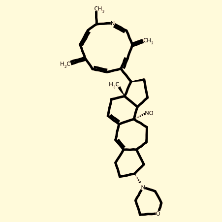 C=C1/C=C\C([C@H]2CCC3[C@]2(C)CC=C2C=C4CC[C@@H](N5CCOCC5)CC4CC[C@@]23N=O)=C/C(=C)/C=N\C(C)/C=C\1